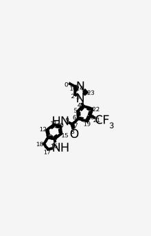 Cc1cn(-c2cc(C(=O)Nc3ccc4c(c3)NCC4)cc(C(F)(F)F)c2)cn1